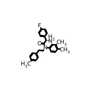 Cc1ccc(CCN(C(=O)[C@@H](N)c2ccc(F)cc2)c2ccc(C)c(C)c2)cc1